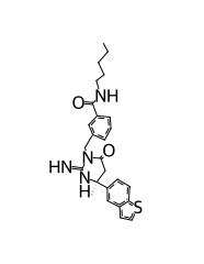 CCCCCNC(=O)c1cccc(CN2C(=N)N[C@](C)(c3ccc4sccc4c3)CC2=O)c1